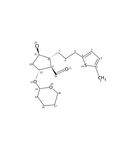 Cc1ccc(CCC[C@@H]2[C@@H](C=O)[C@H](OC3CCCCO3)C[C@H]2Cl)s1